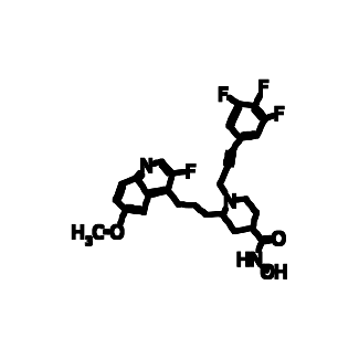 COc1ccc2ncc(F)c(CCCC3CC(C(=O)NO)CCN3CC#Cc3cc(F)c(F)c(F)c3)c2c1